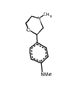 CNc1ccc(C2CN(C)CCO2)cc1